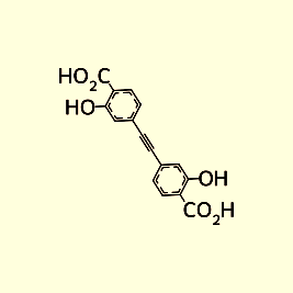 O=C(O)c1ccc(C#Cc2ccc(C(=O)O)c(O)c2)cc1O